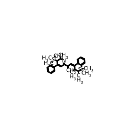 C=C(/C=C1/c2ccccc2[Si](C)(C)[C@@H](C)C1C)C1=NC(C)C([Si](C)(C)C)C(c2ccccc2)=C1